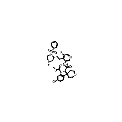 COC(=O)N[C@H](C(=O)Nc1cncc(F)c1CC[C@H]1CNCCN1S(=O)(=O)c1ccccc1)C1(c2ccc(Cl)cc2)CCOCC1